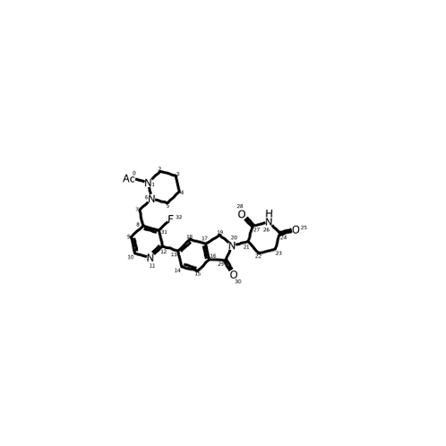 CC(=O)N1CCCCN1Cc1ccnc(-c2ccc3c(c2)CN(C2CCC(=O)NC2=O)C3=O)c1F